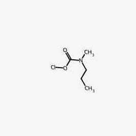 CCCN(C)C(=O)OCl